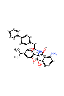 CC(C)c1ccc2c(c1)OC1(O)c3cccc(N)c3C(=O)C21NC(=O)Cc1ccc(-c2ccccc2)cc1